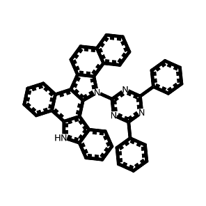 c1ccc(-c2nc(-c3ccccc3)nc(-n3c4c5ccccc5ccc4c4c5ccccc5c5[nH]c6ccccc6c5c43)n2)cc1